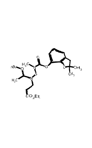 CCCCOC(C)N(CCC(=O)OCC)SN(C)C(=O)Oc1cccc2c1OC(C)(C)C2